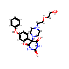 O=C1NC(=O)C(c2ccc(Oc3ccccc3)cc2)(N2CCN(CCOCCO)CC2)C(=O)N1